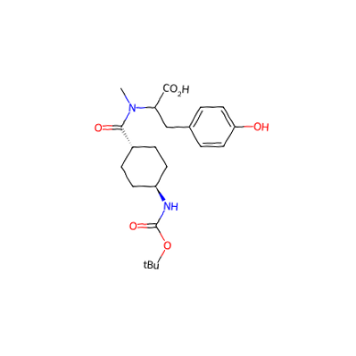 CN(C(=O)[C@H]1CC[C@H](NC(=O)OC(C)(C)C)CC1)C(Cc1ccc(O)cc1)C(=O)O